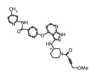 COCC#CC(=O)N1CCC[C@@H](Nc2n[nH]c3nccc(Oc4ccc(C(=O)Nc5cc(C)ccn5)cc4)c23)C1